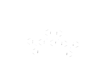 COc1ccc(N(c2ccc(N(c3ccccc3)c3ccccc3)cc2)c2cccc(N(c3ccc(OC)cc3)c3ccc(N(c4ccccc4)c4ccccc4)cc3)c2)cc1